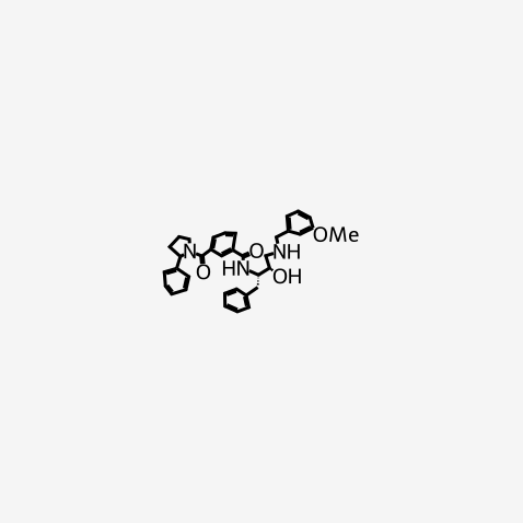 COc1cccc(CNC[C@@H](O)[C@H](Cc2ccccc2)NC(=O)c2cccc(C(=O)N3CCCC3c3ccccc3)c2)c1